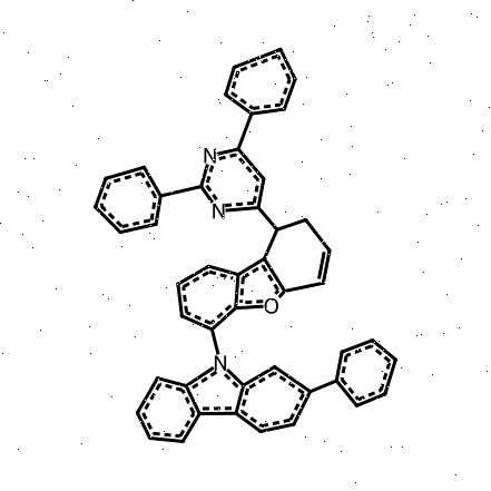 C1=Cc2oc3c(-n4c5ccccc5c5ccc(-c6ccccc6)cc54)cccc3c2C(c2cc(-c3ccccc3)nc(-c3ccccc3)n2)C1